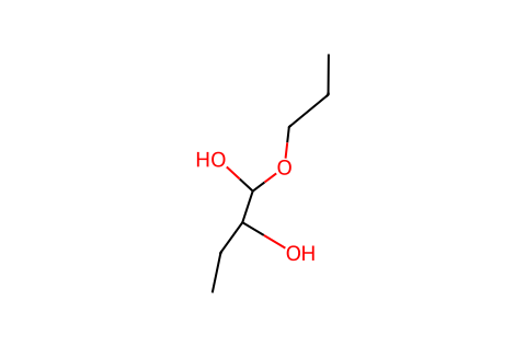 CCCOC(O)C(O)CC